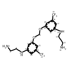 NCCNc1cc(OCOc2cc(NCCN)cc(C(F)(F)F)c2)cc(C(F)(F)F)c1